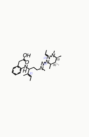 C/C=N\N(C)[C@@H](C)[C@H](C)C(C)/N=N\N(C)CCC(Nc1ccccc1CC(=O)O)/C(C)=C/C